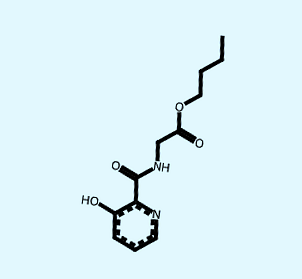 CCCCOC(=O)CNC(=O)c1ncccc1O